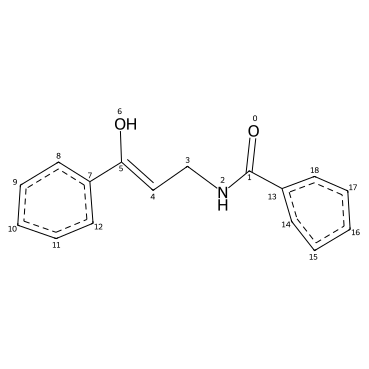 O=C(NCC=C(O)c1ccccc1)c1ccccc1